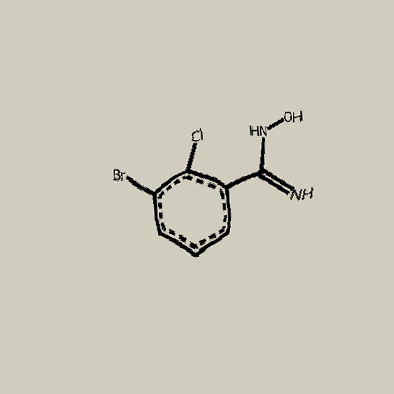 N=C(NO)c1cccc(Br)c1Cl